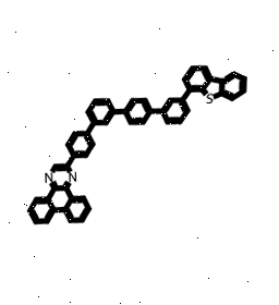 c1cc(-c2ccc(-c3cccc(-c4cccc5c4sc4ccccc45)c3)cc2)cc(-c2ccc(-c3cnc4c5ccccc5c5ccccc5c4n3)cc2)c1